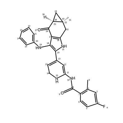 Cc1cc(F)ccc1C(=O)NC1=CC(c2[nH]c3c(c2Nc2ccccc2)C(=O)[C@H]2C[C@@]2(C)C3)=CCN1